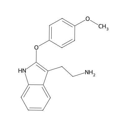 COc1ccc(Oc2[nH]c3ccccc3c2CCN)cc1